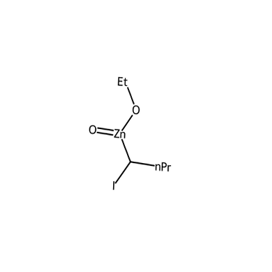 CCC[CH](I)[Zn](=[O])[O]CC